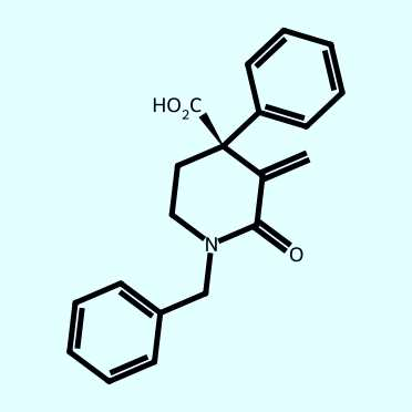 C=C1C(=O)N(Cc2ccccc2)CC[C@]1(C(=O)O)c1ccccc1